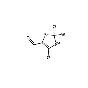 O=CC1=C(Cl)NC(Cl)(Br)S1